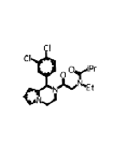 CCN(CC(=O)N1CCn2cccc2C1c1ccc(Cl)c(Cl)c1)C(=O)C(C)C